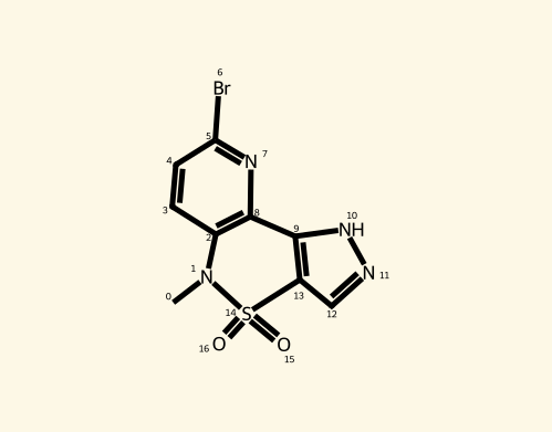 CN1c2ccc(Br)nc2-c2[nH]ncc2S1(=O)=O